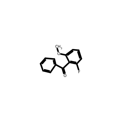 COc1cccc(F)c1C(=O)c1ccccc1